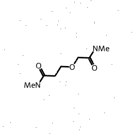 CNC(=O)CCOCC(=O)NC